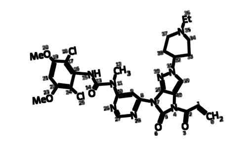 C=CC(=O)n1c(=O)n(-c2cc(N(C)C(=O)Nc3c(Cl)c(OC)cc(OC)c3Cl)ncn2)c2nn(C3CCN(CC)CC3)cc21